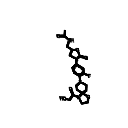 CC(=O)NCC1CN(c2ccc(N3CCC4(CC3)OCCN4C(=O)CO)c(F)c2)C(=O)O1